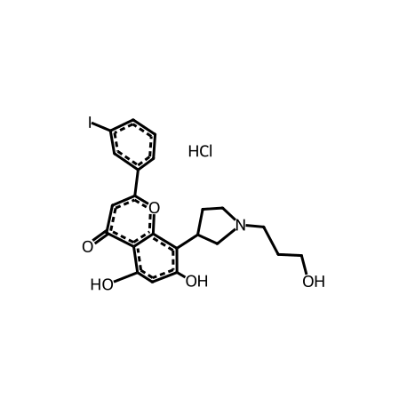 Cl.O=c1cc(-c2cccc(I)c2)oc2c(C3CCN(CCCO)C3)c(O)cc(O)c12